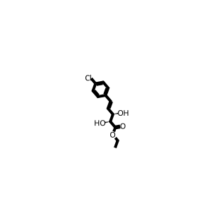 CCOC(=O)[C@H](O)[C@@H](O)/C=C/c1ccc(Cl)cc1